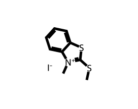 CSc1sc2ccccc2[n+]1C.[I-]